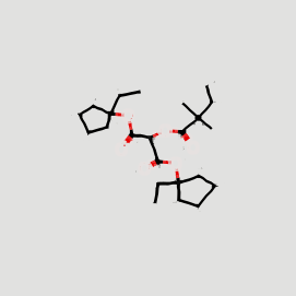 CCC1(OC(=O)C(OC(=O)C(C)(C)CC)C(=O)OC2(CC)CCCC2)CCCC1